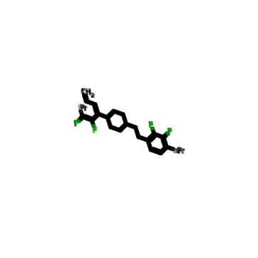 C=C/C=C(\C(F)=C(\F)C(C)C)C1CCC(CCc2ccc(CCC)c(F)c2F)CC1